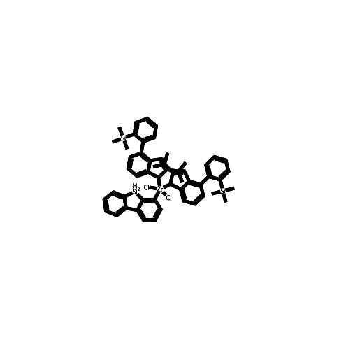 CC(C)C1=Cc2c(-c3ccccc3[Si](C)(C)C)cccc2[CH]1[Zr]([Cl])([Cl])([c]1cccc2c1[SiH2]c1ccccc1-2)[CH]1C(C(C)C)=Cc2c(-c3ccccc3[Si](C)(C)C)cccc21